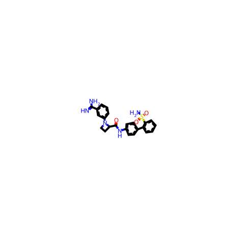 N=C(N)c1cccc(N2CCC2C(=O)Nc2ccc(-c3ccccc3S(N)(=O)=O)cc2)c1